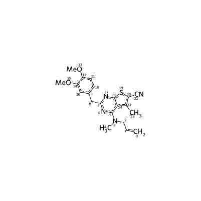 C=CCN(C)c1nc(Cc2ccc(OC)c(OC)c2)nc2sc(C#N)c(C)c12